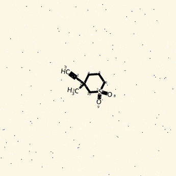 C#CC1(C)CCCS(=O)(=O)C1